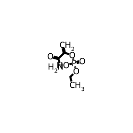 C=C(OP(=O)(O)OCC)C(N)=O